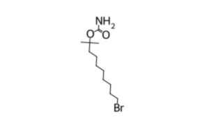 CC(C)(CCCCCCCCBr)OC(N)=O